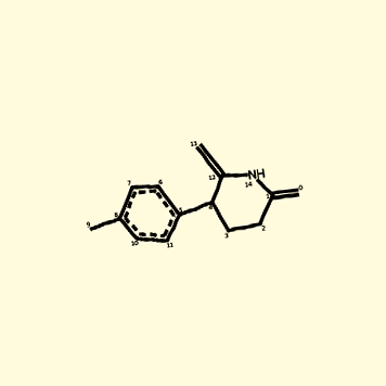 C=C1CCC(c2ccc(C)cc2)C(=C)N1